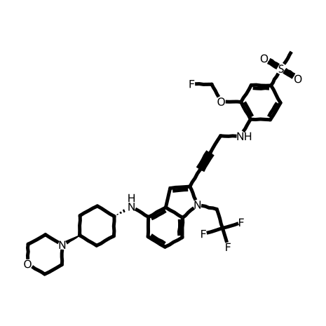 CS(=O)(=O)c1ccc(NCC#Cc2cc3c(N[C@H]4CC[C@H](N5CCOCC5)CC4)cccc3n2CC(F)(F)F)c(OCF)c1